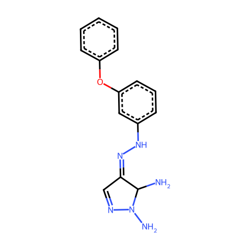 NC1C(=NNc2cccc(Oc3ccccc3)c2)C=NN1N